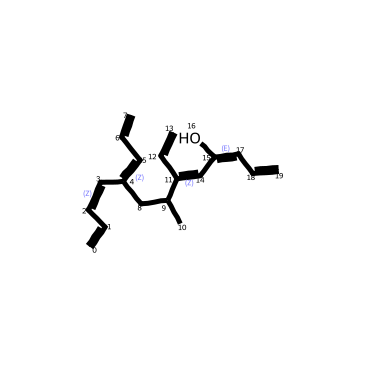 C=C/C=C\C(=C/C=C)CC(C)/C(C=C)=C/C(O)=C\C=C